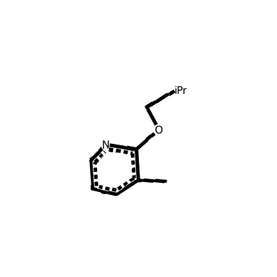 Cc1cccnc1OCC(C)C